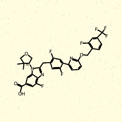 CC1(C)COC[C@H]1n1c(Cc2cc(F)c(-c3cccc(OCc4ccc(C(F)(F)F)cc4F)n3)cc2F)nc2c(F)cc(C(=O)O)cc21